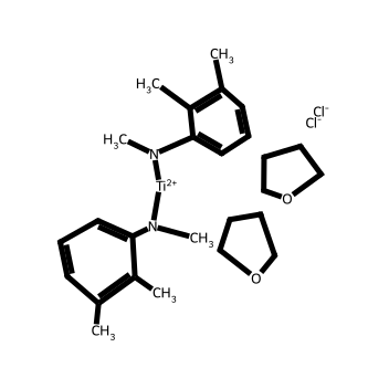 C1CCOC1.C1CCOC1.Cc1cccc([N](C)[Ti+2][N](C)c2cccc(C)c2C)c1C.[Cl-].[Cl-]